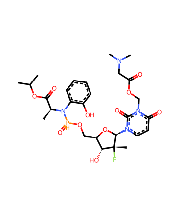 CC(C)OC(=O)[C@H](C)N(c1ccccc1O)[PH](=O)OC[C@H]1O[C@@H](n2ccc(=O)n(COC(=O)CN(C)C)c2=O)[C@](C)(F)[C@@H]1O